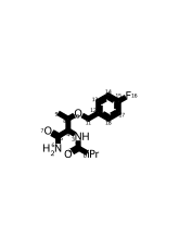 CC(C)C(=O)NC(C(N)=O)C(C)OCc1ccc(F)cc1